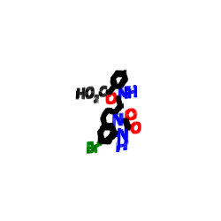 O=C(O)Cc1ccccc1NC(=O)CC1CCc2cc(Br)cc3[nH]c(=O)c(=O)n1c23